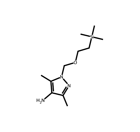 Cc1nn(COCC[Si](C)(C)C)c(C)c1N